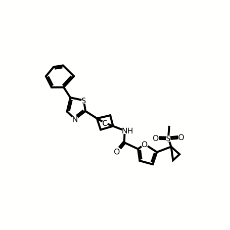 CS(=O)(=O)C1(c2ccc(C(=O)NC34CC(c5ncc(-c6ccccc6)s5)(C3)C4)o2)CC1